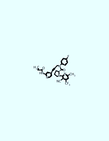 C=CC(=O)Nc1cc(C#CCN(C(=O)[C@@H]2CCCN2c2nc(C)cc(C(F)(F)F)c2C#N)c2ccc(F)cc2)ccn1